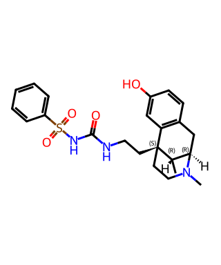 C[C@H]1[C@H]2Cc3ccc(O)cc3[C@@]1(CCNC(=O)NS(=O)(=O)c1ccccc1)CCN2C